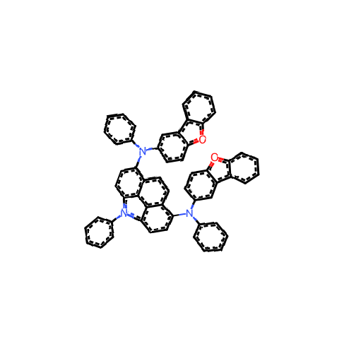 c1ccc(N(c2ccc3oc4ccccc4c3c2)c2ccc3c4c2ccc2c(N(c5ccccc5)c5ccc6oc7ccccc7c6c5)ccc(c24)n3-c2ccccc2)cc1